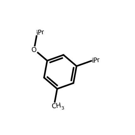 Cc1cc(OC(C)C)cc(C(C)C)c1